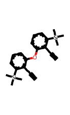 C#Cc1c(Oc2cccc([Si](C)(C)C)c2C#C)cccc1[Si](C)(C)C